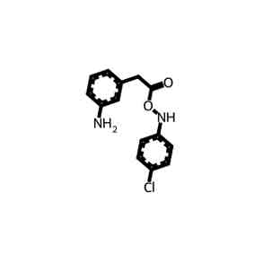 Nc1cccc(CC(=O)ONc2ccc(Cl)cc2)c1